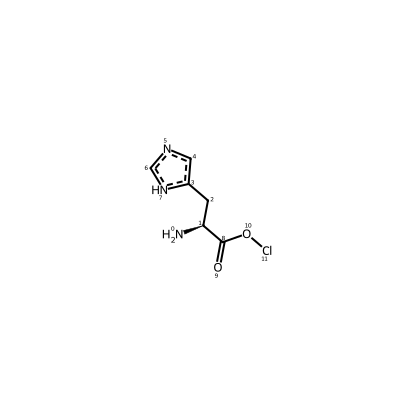 N[C@@H](Cc1cnc[nH]1)C(=O)OCl